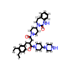 CCc1ccc(CC(CC(=O)N2CCC(N3CCc4ccccc4NC3=O)CC2)C(=O)N2CCC(N3CCNCC3)CC2)cc1CC